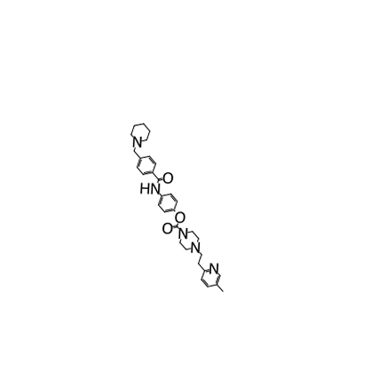 Cc1ccc(CCN2CCN(C(=O)Oc3ccc(NC(=O)c4ccc(CN5CCCCC5)cc4)cc3)CC2)nc1